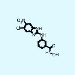 O=C(NO)c1cccc(Nc2nc3cc(Cl)c([N+](=O)[O-])cc3[nH]2)c1